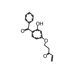 C=CC(=O)CCOc1ccc(C(=O)c2ccccc2)c(O)c1